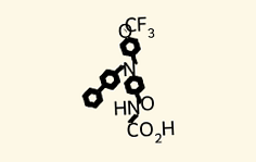 O=C(O)CCNC(=O)c1ccc(N(Cc2ccc(OC(F)(F)F)cc2)Cc2ccc(-c3ccccc3)cc2)cc1